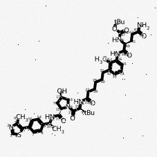 Cc1ncsc1-c1ccc([C@H](C)NC(=O)[C@@H]2C[C@@H](O)CN2C(=O)[C@@H](NC(=O)CCCCCc2cccc(NC(=O)[C@H](CCC(N)=O)NC(=O)OC(C)(C)C)c2C)C(C)(C)C)cc1